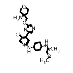 COC[C@@H](C)N[C@H]1CC[C@H](Nc2cc(-c3cncc(OCC4(N)CCOCC4)n3)c(Cl)cn2)CC1